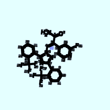 NC(=O)/C(=C/n1nc(-c2ccccc2C(F)(F)F)nc1-c1ccccc1C(F)(F)F)c1ccnc(F)c1